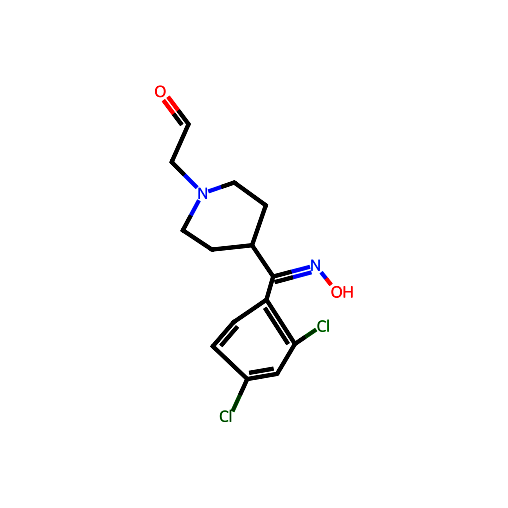 O=CCN1CCC(C(=NO)c2ccc(Cl)cc2Cl)CC1